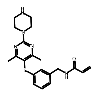 C=CC(=O)NCc1cccc(Sc2c(C)nc(N3CCNCC3)nc2C)c1